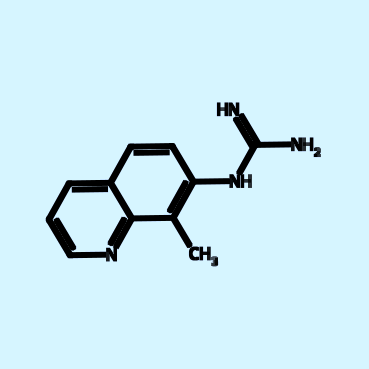 Cc1c(NC(=N)N)ccc2cccnc12